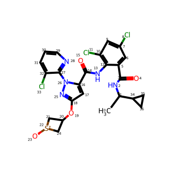 CC(NC(=O)c1cc(Cl)cc(Cl)c1NC(=O)c1cc(OC2C[S+]([O-])C2)nn1-c1ncccc1Cl)C1CC1